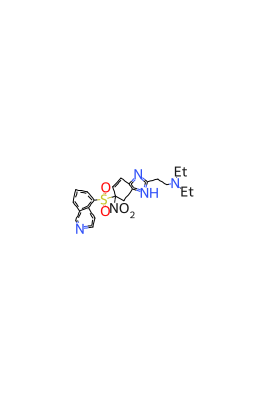 CCN(CC)CCc1nc2c([nH]1)CC([N+](=O)[O-])(S(=O)(=O)c1cccc3cnccc13)C=C2